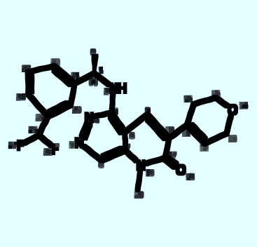 C[C@@H](Nc1nncc2c1cc(C1=CCOCC1)c(=O)n2C)c1cccc(C(F)F)c1